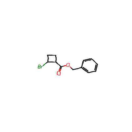 O=C(OCc1ccccc1)C1CCC1Br